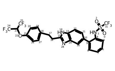 O=S(=O)(Nc1ccccc1-c1ccc2[nH]c(CCc3ccc(OC(C(F)(F)F)C(F)(F)F)cc3)nc2c1)C(F)(F)F